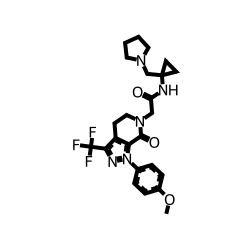 COc1ccc(-n2nc(C(F)(F)F)c3c2C(=O)N(CC(=O)NC2(CN4CCCC4)CC2)CC3)cc1